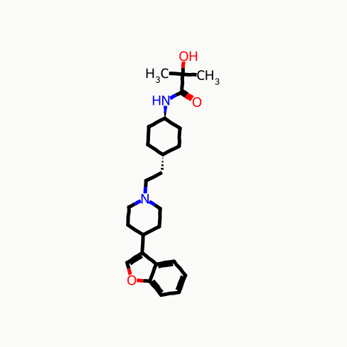 CC(C)(O)C(=O)N[C@H]1CC[C@H](CCN2CCC(c3coc4ccccc34)CC2)CC1